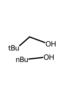 CC(C)(C)CO.CCCCO